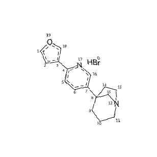 Br.c1cc(-c2ccc(C34CCCN(CC3)C4)cn2)co1